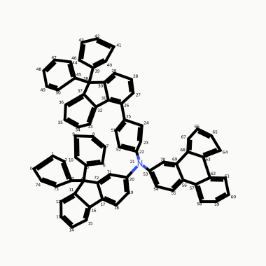 c1ccc(C2(c3ccccc3)c3ccccc3-c3ccc(N(c4ccc(-c5cccc6c5-c5ccccc5C6(c5ccccc5)c5ccccc5)cc4)c4ccc5c6ccccc6c6ccccc6c5c4)cc32)cc1